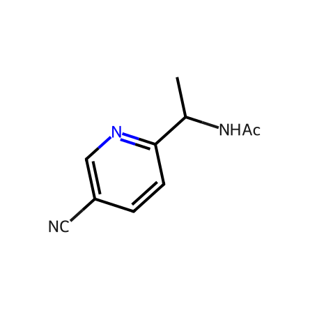 CC(=O)NC(C)c1ccc(C#N)cn1